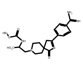 CCCCOC(=O)NC(CN1CCC2(CC1)CC(c1ccc(C(=N)N)cc1)=NC2=O)C(=O)O